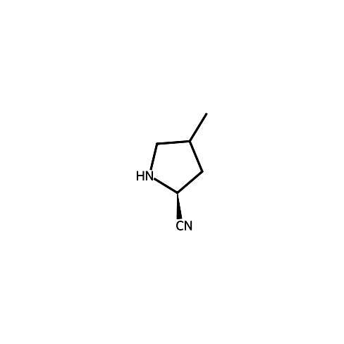 CC1CN[C@H](C#N)C1